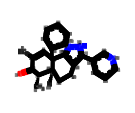 C[C@@H]1C(=O)C(C#N)=C[C@]2(c3ccccc3)c3n[nH]c(-c4cccnc4)c3CC[C@@H]12